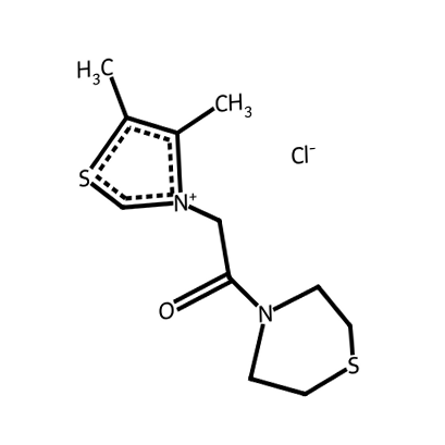 Cc1sc[n+](CC(=O)N2CCSCC2)c1C.[Cl-]